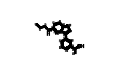 CCCNc1ccc2ncc(-c3cccc(C(C)O)c3)n2n1